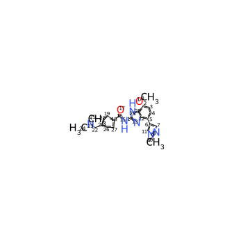 COc1ccc(-c2cnn(C)c2)c2nc(NC(=O)c3ccc(CN(C)C)cc3)[nH]c12